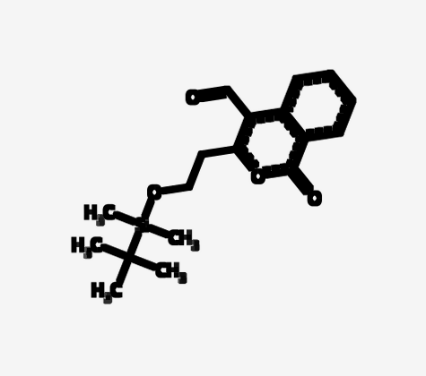 CC(C)(C)[Si](C)(C)OCCc1oc(=O)c2ccccc2c1C=O